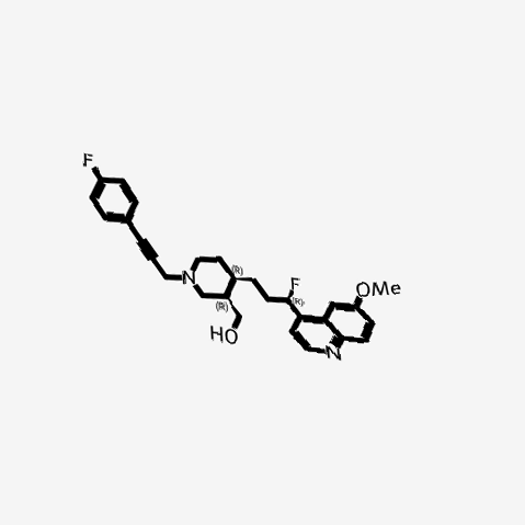 COc1ccc2nccc([C@H](F)CC[C@@H]3CCN(CC#Cc4ccc(F)cc4)C[C@@H]3CO)c2c1